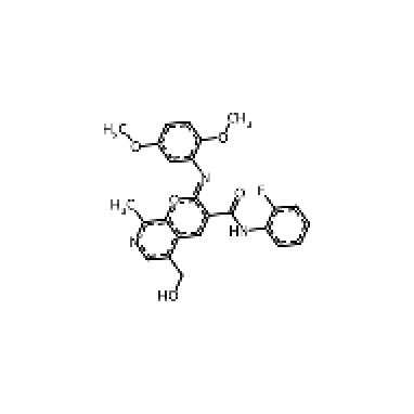 COc1ccc(OC)c(/N=c2\oc3c(C)ncc(CO)c3cc2C(=O)Nc2ccccc2F)c1